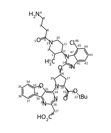 CC1CN(C(=O)CCCN)CCC1n1c(O[C@H]2C[C@@H](C(=O)OC(C)(C)C)N(c3nc(CC(=O)O)nc4c3oc3ccccc34)C2)nc2cccc(Cl)c21